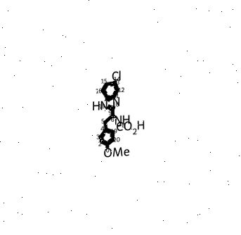 COc1ccc(CC(NC(=O)O)c2nc3cc(Cl)ccc3[nH]2)cc1